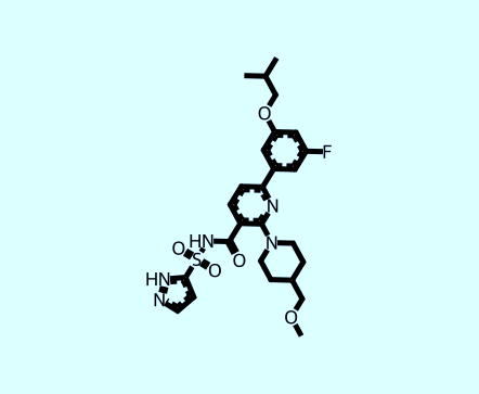 COCC1CCN(c2nc(-c3cc(F)cc(OCC(C)C)c3)ccc2C(=O)NS(=O)(=O)c2ccn[nH]2)CC1